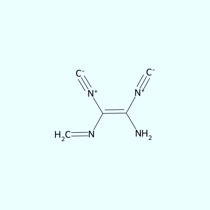 [C-]#[N+]/C(N)=C(/N=C)[N+]#[C-]